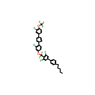 CCCCCc1ccc(-c2cc(F)c(C(F)(F)Oc3ccc(-c4ccc(-c5ccc(OC(F)(F)F)c(F)c5)cc4)c(F)c3)c(F)c2)cc1